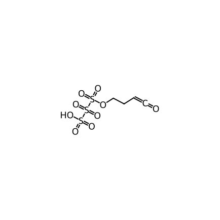 O=C=CCCOS(=O)(=O)S(=O)(=O)S(=O)(=O)O